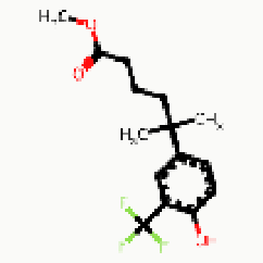 COC(=O)CCCC(C)(C)c1ccc(O)c(C(F)(F)F)c1